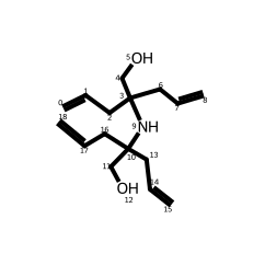 C=CCC(CO)(CC=C)NC(CO)(CC=C)CC=C